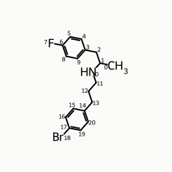 CC(Cc1ccc(F)cc1)NCCCc1ccc(Br)cc1